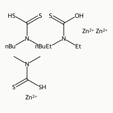 CCCCN(CCCC)C(=S)S.CCN(CC)C(O)=S.CN(C)C(=S)S.[Zn+2].[Zn+2].[Zn+2]